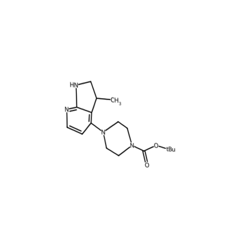 CC1CNc2nccc(N3CCN(C(=O)OC(C)(C)C)CC3)c21